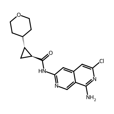 Nc1nc(Cl)cc2cc(NC(=O)[C@H]3C[C@@H]3C3CCOCC3)ncc12